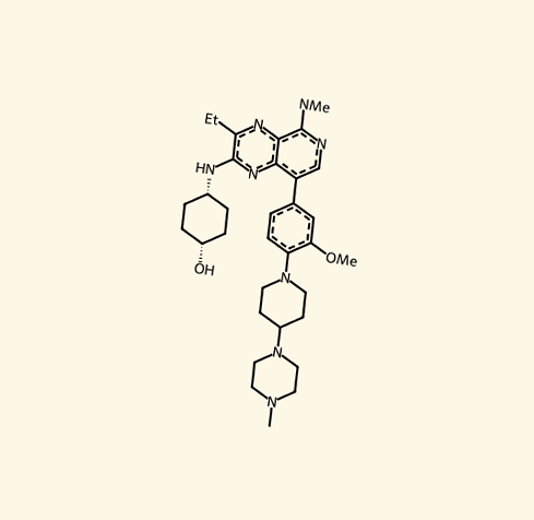 CCc1nc2c(NC)ncc(-c3ccc(N4CCC(N5CCN(C)CC5)CC4)c(OC)c3)c2nc1N[C@H]1CC[C@@H](O)CC1